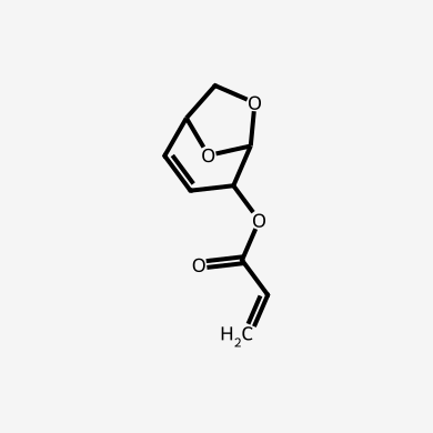 C=CC(=O)OC1C=CC2COC1O2